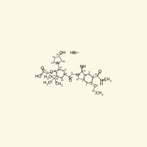 Br.CCOc1cc2c(cc1C(=O)NC)C(=N)N(CC(=O)c1cc(N3CCC(O)C3)c(OCC(=O)O)c(C(C)(C)C)c1)C2